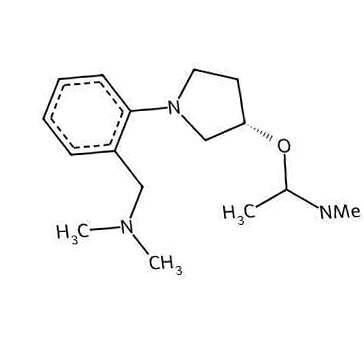 CNC(C)O[C@H]1CCN(c2ccccc2CN(C)C)C1